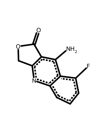 Nc1c2c(nc3cccc(F)c13)COC2=O